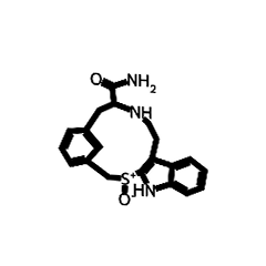 NC(=O)C1Cc2cccc(c2)C[S+]([O-])c2[nH]c3ccccc3c2CCN1